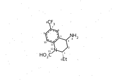 CC[C@H]1CC(N)c2cc(C(F)(F)F)ccc2N1C(=O)O